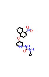 O=C(Nc1cc(Oc2ccc([N+](=O)[O-])c3ccccc23)ccn1)NC1CC1